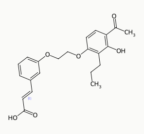 CCCc1c(OCCOc2cccc(/C=C/C(=O)O)c2)ccc(C(C)=O)c1O